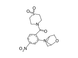 O=C(c1ccc([N+](=O)[O-])cc1N1CC2CC1CO2)N1CCS(=O)(=O)CC1